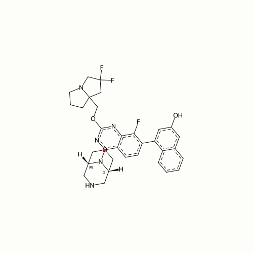 Oc1cc(-c2ccc3c(N4[C@@H]5CNC[C@H]4COC5)nc(OCC45CCCN4CC(F)(F)C5)nc3c2F)c2ccccc2c1